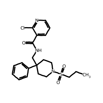 CCCS(=O)(=O)N1CCC(CNC(=O)c2cccnc2Cl)(c2ccccc2)CC1